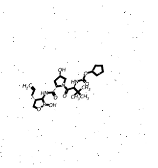 C=CC[C@H]1COB(O)C1NC(=O)[C@@H]1C[C@@H](O)CN1C(=O)[C@@H](NC(=O)OC1CCCC1)C(C)(C)C